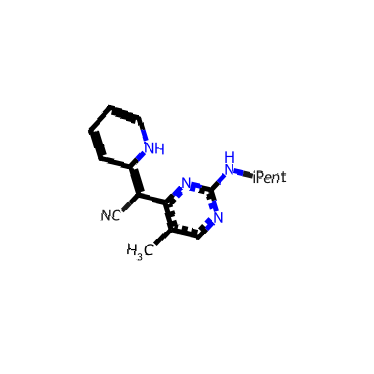 CCCC(C)Nc1ncc(C)c(/C(C#N)=C2/C=CC=CN2)n1